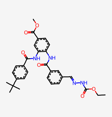 CCOC(=O)NN=Cc1cccc(C(=O)Nc2ccc(C(=O)OC)cc2NC(=O)c2ccc(C(C)(C)C)cc2)c1